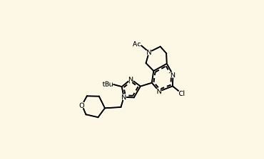 CC(=O)N1CCc2nc(Cl)nc(-c3cn(CC4CCOCC4)c(C(C)(C)C)n3)c2C1